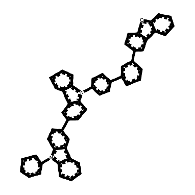 c1ccc(-n2c3ccccc3c3cc(-c4ccc5c(c4)c4ccccc4n5-c4ccc(-c5cccc(-c6ccc7oc8ccccc8c7c6)c5)cc4)ccc32)cc1